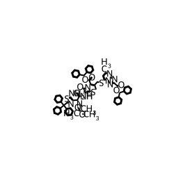 COC(C)(C)ON=C(C(=O)N[C@@H]1C(=O)N2C(C(=O)OC(c3ccccc3)c3ccccc3)=C(CSc3cc(C)nc4nc(C(=O)OC(c5ccccc5)c5ccccc5)nn34)CS[C@H]12)c1nc(C(c2ccccc2)(c2ccccc2)c2ccccc2)sc1N